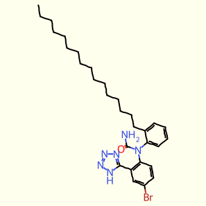 CCCCCCCCCCCCCCCCc1ccccc1N(C(N)=O)c1ccc(Br)cc1-c1nnn[nH]1